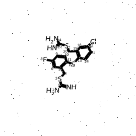 N=C(N)SCc1cc(F)ccc1Sc1ccc(Cl)cc1CSC(=N)N